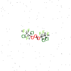 FC(F)(Cl)C(F)(Cl)OOOC(F)(Cl)C(F)(F)Cl